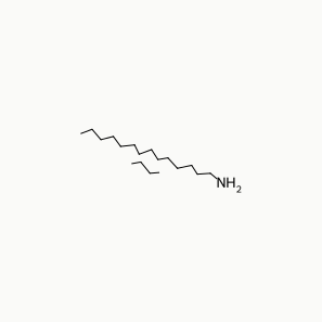 CCCC.CCCCCCCCCCCCCCN